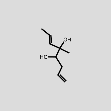 C=CCC(O)C(C)(O)C=CC